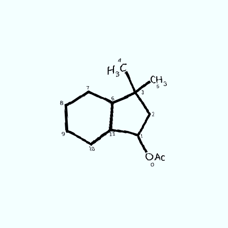 CC(=O)OC1CC(C)(C)C2CCCCC12